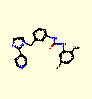 COc1ccc(C(F)(F)F)cc1NC(=O)Nc1cccc(Cn2ccnc2-c2ccncc2)c1